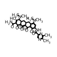 Cc1ncc(C(=O)Nc2cc(N(C)C)c3c(c2O)C(=O)C2=C(O)C4(O)C(=O)C(C(N)=O)=C(O)C(N(C)C)C4CC2C3)nc1C